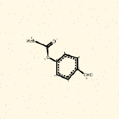 CNC(=O)Oc1ccc(C=O)cc1